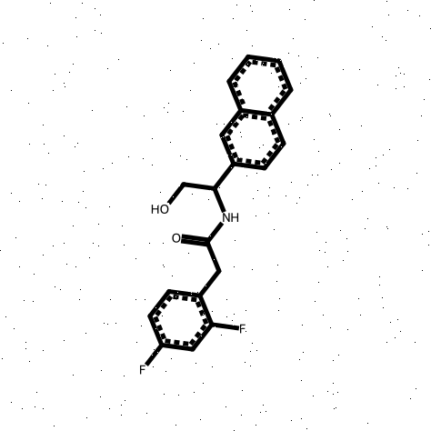 O=C(Cc1ccc(F)cc1F)NC(CO)c1ccc2ccccc2c1